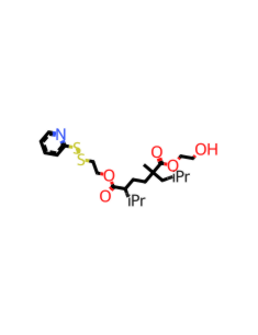 CC(C)CC(C)(CCC(C(=O)OCCSSc1ccccn1)C(C)C)C(=O)OCCO